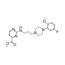 COC(=O)c1ccnc(NCCCN2CCN(c3cc(F)ccc3OC)CC2)n1